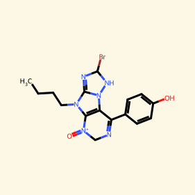 CCCCN1C2=NC(Br)NN2C2=C1[N+](=O)CN=C2c1ccc(O)cc1